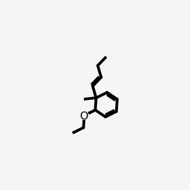 CCC=CC1(C)C=CC=CC1OCC